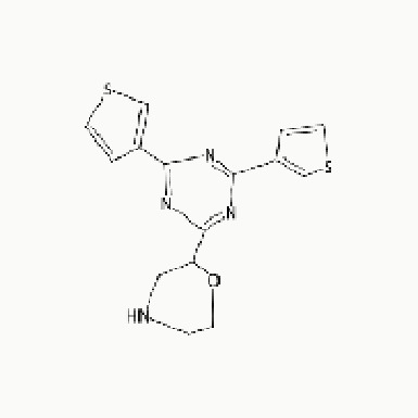 c1cc(-c2nc(-c3ccsc3)nc(C3CNCCO3)n2)cs1